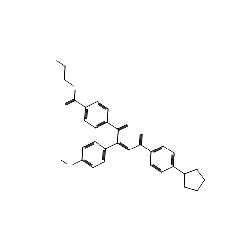 O=C(O)CCNC(=O)c1ccc(C(=O)/C(=C\C(=O)c2ccc(C3CCCC3)cc2)c2ccc(OC(F)(F)F)cc2)cc1